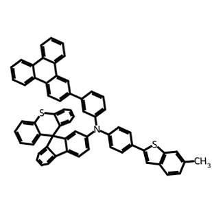 Cc1ccc2cc(-c3ccc(N(c4cccc(-c5ccc6c7ccccc7c7ccccc7c6c5)c4)c4ccc5c(c4)C4(c6ccccc6Sc6ccccc64)c4ccccc4-5)cc3)sc2c1